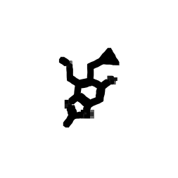 CSCc1c(CC2CC2)c(Br)cc2[nH]c(C)nc12